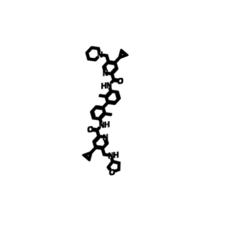 Cc1c(NC(=O)c2cc(C3CC3)c(CNC3CCOC3)cn2)cccc1-c1cccc(NC(=O)c2cc(C3CC3)c(CN3CCCCC3)cn2)c1C